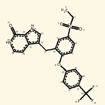 CCS(=O)(=O)c1ccc(Oc2ccc(C(F)(F)F)cc2)c(Cc2c[nH]c3c(=O)[nH]ccc23)c1